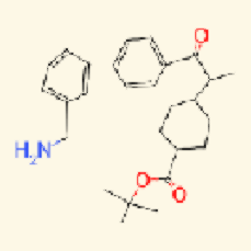 CC(C(=O)c1ccccc1)C1CCC(C(=O)OC(C)(C)C)CC1.NCc1ccccc1